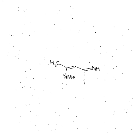 CN/C(C)=C\C(=N)I